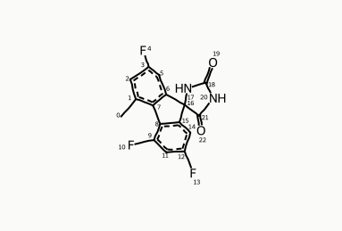 Cc1cc(F)cc2c1-c1c(F)cc(F)cc1C21NC(=O)NC1=O